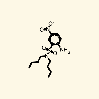 CCCCN(CCCC)S(=O)(=O)c1cc([N+](=O)[O-])ccc1N